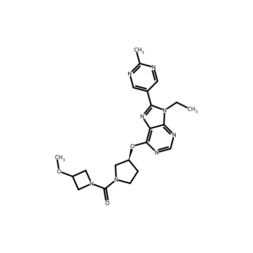 CCn1c(-c2cnc(C)nc2)nc2c(O[C@H]3CCN(C(=O)N4CC(OC)C4)C3)ncnc21